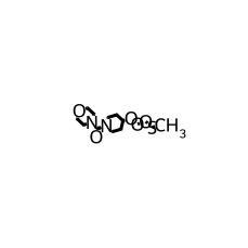 CSOOOC1CCN(C(=O)N2CCOCC2)CC1